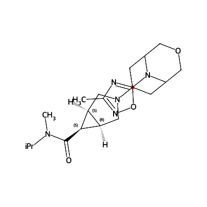 Cc1noc(N2C3COCC2CC(N2C[C@@H]4[C@H](C2)[C@@H]4C(=O)N(C)C(C)C)C3)n1